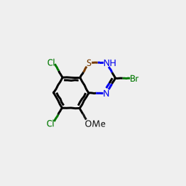 COc1c(Cl)cc(Cl)c2c1N=C(Br)NS2